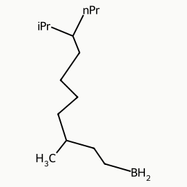 BCCC(C)CCCCC(CCC)C(C)C